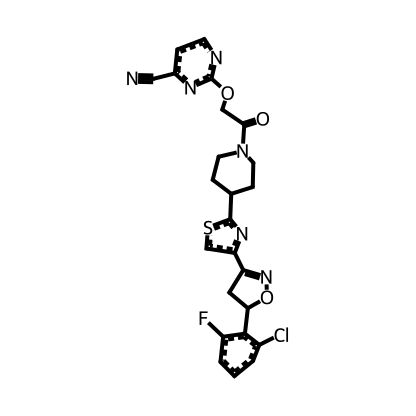 N#Cc1ccnc(OCC(=O)N2CCC(c3nc(C4=NOC(c5c(F)cccc5Cl)C4)cs3)CC2)n1